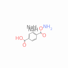 NOC(=O)c1ccc(C(=O)O)cc1.[NaH].[NaH]